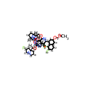 COCOc1cc(-c2nc3c4c(nc(OC[C@@]56CCCN5C[C@@H](F)C6)nc4c2F)N2C[C@H]4CC[C@@H]([C@@H]2CO3)N4C(=O)OC(C)(C)C)c2c(F)c(F)ccc2c1